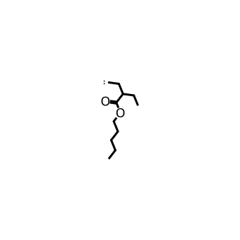 [CH]CC(CC)C(=O)OCCCCC